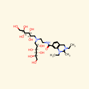 CCN1C(C)=[N+](CC)Cc2ccc(C(=O)NCCN(C[C@H](O)[C@@H](O)[C@H](O)[C@H](O)CO)C[C@H](O)[C@@H](O)[C@H](O)[C@H](O)CO)cc21